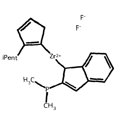 CCCC(C)C1=[C]([Zr+2][CH]2C(P(C)C)=Cc3ccccc32)CC=C1.[F-].[F-]